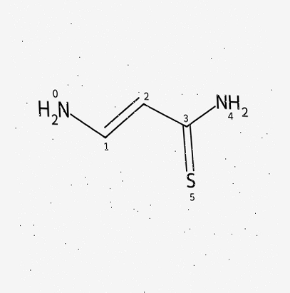 NC=CC(N)=S